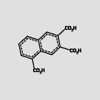 O=C(O)c1cc2cccc(C(=O)O)c2cc1C(=O)O